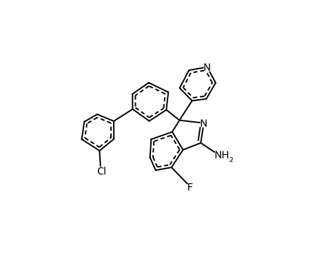 NC1=NC(c2ccncc2)(c2cccc(-c3cccc(Cl)c3)c2)c2cccc(F)c21